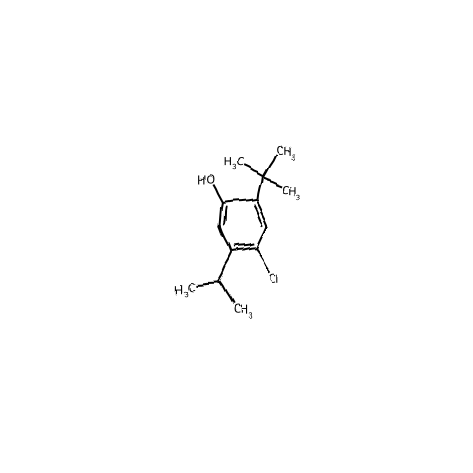 CC(C)c1cc(O)c(C(C)(C)C)cc1Cl